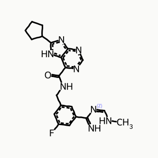 CN/C=N\C(=N)c1cc(F)cc(CNC(=O)c2ncnc3nc(C4CCCC4)[nH]c23)c1